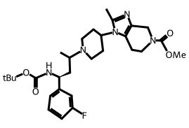 COC(=O)N1CCc2c(nc(C)n2C2CCN(C(C)C[C@H](NC(=O)OC(C)(C)C)c3cccc(F)c3)CC2)C1